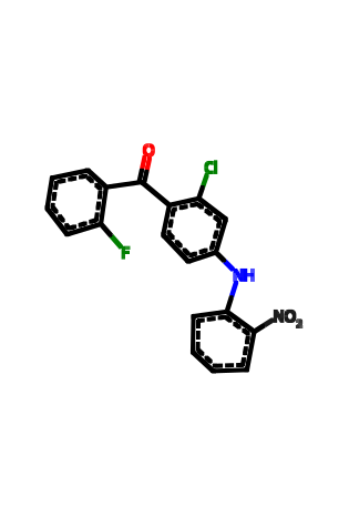 O=C(c1ccccc1F)c1ccc(Nc2ccccc2[N+](=O)[O-])cc1Cl